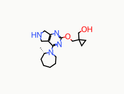 C[C@H]1CCCCCN1c1nc(OCC2(CO)CC2)nc2c1CNC2